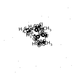 C=CCN(CC=C)C(=O)C(Cl)Cl.CCOCN(C(=O)CCl)c1c(C)cccc1CC.CCOc1cc(Oc2ccc(C(F)(F)F)cc2Cl)ccc1[N+](=O)[O-].CP(=O)(O)CCC(N)C(=O)O